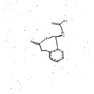 CCC(=O)OC1OC(=O)Cc2ccccc21